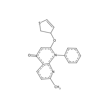 Cc1ccc2c(=O)cc(OC3C=CSC3)n(-c3ccccc3)c2n1